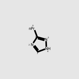 CCCc1nc[nH]n1